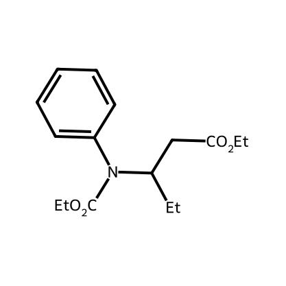 CCOC(=O)CC(CC)N(C(=O)OCC)c1ccccc1